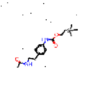 CC(=O)NCCc1ccc(NC(=O)OCC[Si](C)(C)C)cc1